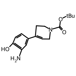 CC(C)(C)OC(=O)N1CC=C(c2ccc(O)c(N)c2)CC1